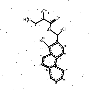 CCC(C)C(=O)OC(C)c1ccc2c(ccc3ccccc32)c1Br